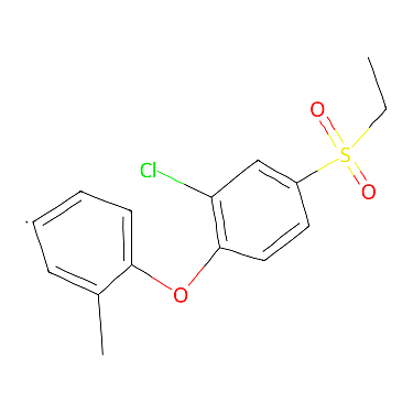 CCS(=O)(=O)c1ccc(Oc2cc[c]cc2C)c(Cl)c1